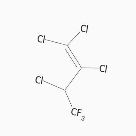 FC(F)(F)C(Cl)C(Cl)=C(Cl)Cl